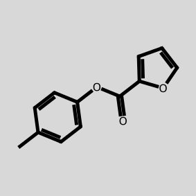 Cc1ccc(OC(=O)c2ccco2)cc1